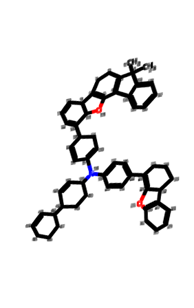 CC1(C)C2=C(C3=C(CC2)C2C=CC=C(C4C=CC(N(c5ccc(C6=C7OC8=C(C=CCC8)C7CCC6)cc5)C5C=CC(C6C=CCCC6)CC5)=CC4)C2O3)c2ccccc21